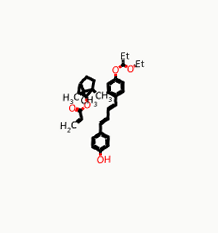 C=CC(=O)OC1CC2CCC1(C)C2(C)C.CCOC(CC)Oc1ccc(C=CC=Cc2ccc(O)cc2)cc1